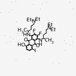 CCN(CC)CCCC(C)Nc1c(F)c(F)c(NC(C)CCCN(CC)CC)c2c1C(=O)c1c(O)ccc(I)c1C2=O